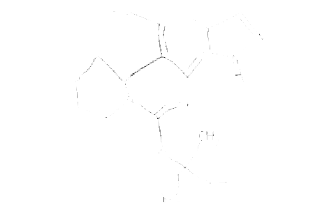 Cc1cc2cn[nH]c2cc1C1COCCN1C(=O)OC(C)(C)C